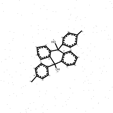 Cc1ccc(C2(O)c3ccccc3C(O)(c3ccc(C)cc3)c3ccccc32)cc1